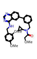 COCC(=O)N(Cc1cccc(-c2ccc3ncnc(NCc4ccc(OC)cc4OC)c3c2)c1)C1CC1